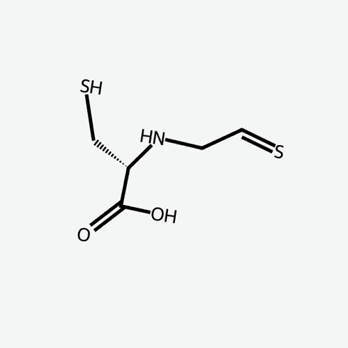 O=C(O)[C@H](CS)NCC=S